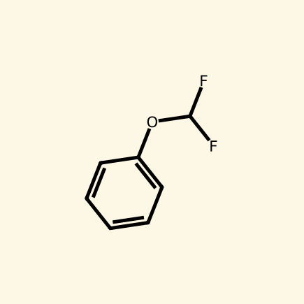 FC(F)Oc1ccccc1